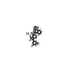 Cn1nc2c(c1-c1cc(F)cc(F)c1)CCN(C(=O)c1ccccc1-n1nccn1)[C@H]2N